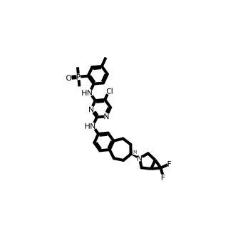 Cc1ccc(Nc2nc(Nc3ccc4c(c3)CC[C@@H](N3CC5C(C3)C5(F)F)CC4)ncc2Cl)c(P(C)(C)=O)c1